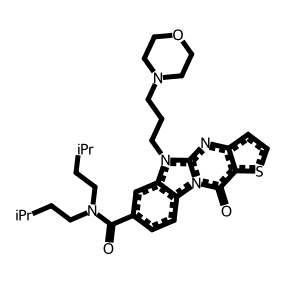 CC(C)CCN(CCC(C)C)C(=O)c1ccc2c(c1)n(CCCN1CCOCC1)c1nc3ccsc3c(=O)n21